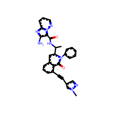 CC(NC(=O)c1c(N)nc2cccnn12)c1cc2cccc(C#Cc3cnn(C)c3)c2c(=O)n1-c1ccccc1